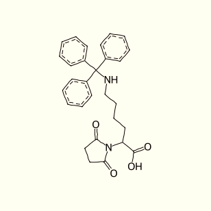 O=C(O)C(CCCCNC(c1ccccc1)(c1ccccc1)c1ccccc1)N1C(=O)CCC1=O